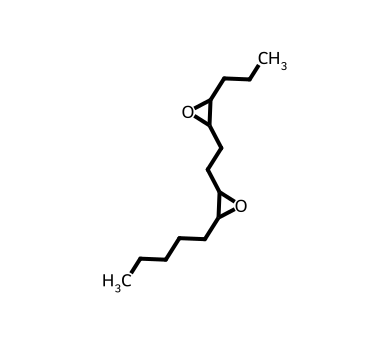 CCCCCC1OC1CCC1OC1CCC